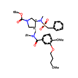 COCCCOc1cc(C(=O)N(C[C@@H]2CN(C(=O)OC(C)(C)C)C[C@H]2N(C)S(=O)(=O)Cc2ccccc2)C(C)C)ccc1OC